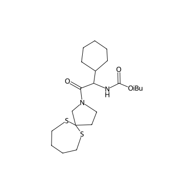 CC(C)COC(=O)NC(C(=O)N1CCC2(C1)SCCCCS2)C1CCCCC1